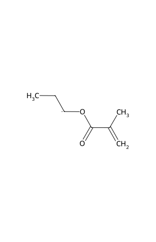 C=C(C)C(=O)O[CH]CC